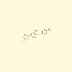 OC[C@@H](O)c1cccc(-c2cnc3c(ccn3Cc3ccc(C(F)(F)F)cc3)c2)n1